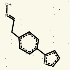 ON=CCc1ccc(-c2cccs2)cc1